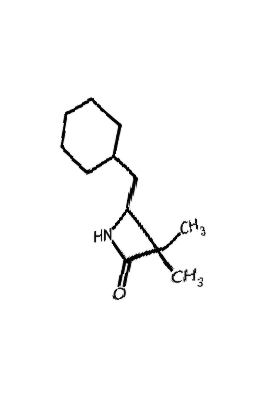 CC1(C)C(=O)NC1CC1CCCCC1